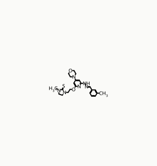 Cc1cccc(/C=N/Nc2cc(N3CCOCC3)cc(OCCN3CCN(C)C3=S)n2)c1